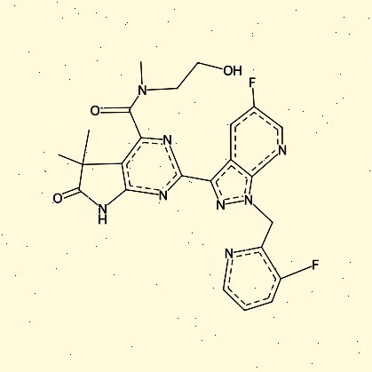 CN(CCO)C(=O)c1nc(-c2nn(Cc3ncccc3F)c3ncc(F)cc23)nc2c1C(C)(C)C(=O)N2